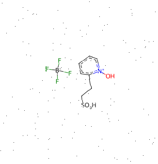 F[B-](F)(F)F.O=S(=O)(O)CCc1cccc[n+]1O